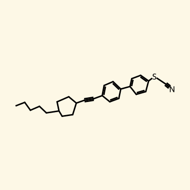 CCCCCC1CCC(C#Cc2ccc(-c3ccc(SC#N)cc3)cc2)CC1